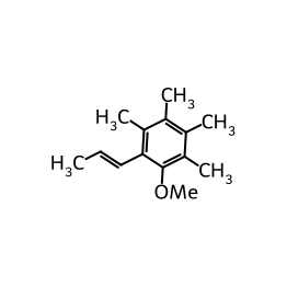 CC=Cc1c(C)c(C)c(C)c(C)c1OC